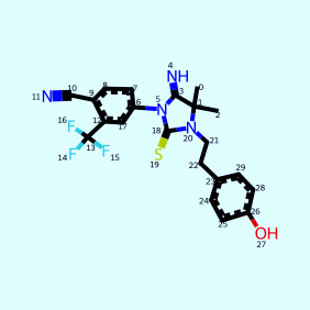 CC1(C)C(=N)N(c2ccc(C#N)c(C(F)(F)F)c2)C(=S)N1CCc1ccc(O)cc1